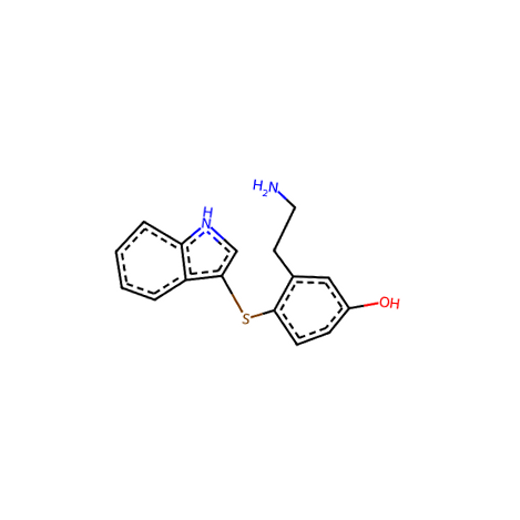 NCCc1cc(O)ccc1Sc1c[nH]c2ccccc12